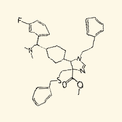 COC(=O)C1(CSCc2ccccc2)N=CN(CCc2ccccc2)C1C1CCC(C(c2cccc(F)c2)N(C)C)CC1